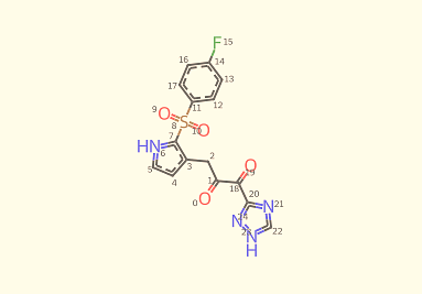 O=C(Cc1cc[nH]c1S(=O)(=O)c1ccc(F)cc1)C(=O)c1nc[nH]n1